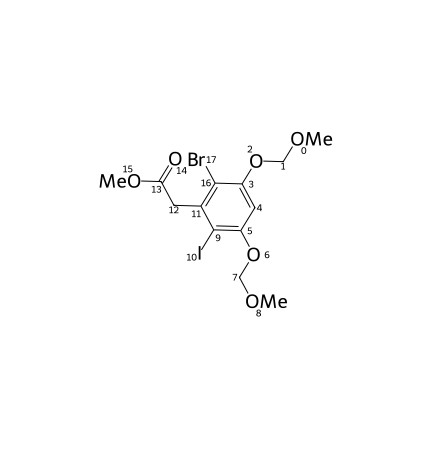 COCOc1cc(OCOC)c(I)c(CC(=O)OC)c1Br